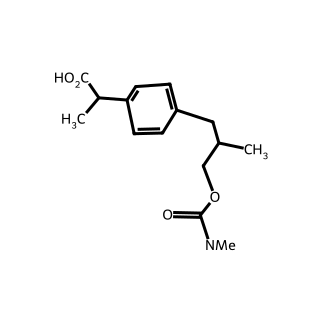 CNC(=O)OCC(C)Cc1ccc(C(C)C(=O)O)cc1